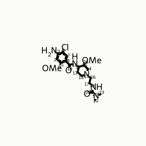 COc1cc(N)c(Cl)cc1C(=O)NC1CCN(CCNC(=O)N(C)C)CC1OC